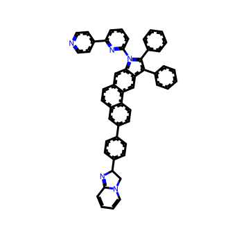 C1=CC2=NC(c3ccc(-c4ccc5c(ccc6cc7c(cc65)c(-c5ccccc5)c(-c5ccccc5)n7-c5cccc(-c6ccncc6)n5)c4)cc3)CN2C=C1